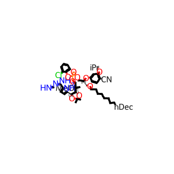 CCCCCCCCCCCCCCCCCCOC[C@H](COP(=O)(OC[C@@](C)(OC)[C@H]1OC(C)(C)O[C@H]1c1ccc(/C(N)=N\C=N)[nH]1)Oc1ccccc1Cl)Oc1ccc(C#N)c(OC(C)C)c1